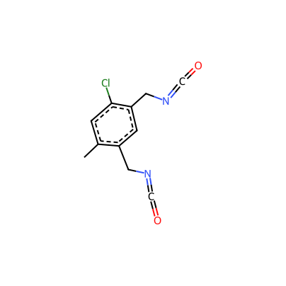 Cc1cc(Cl)c(CN=C=O)cc1CN=C=O